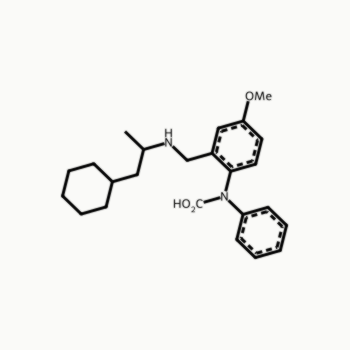 COc1ccc(N(C(=O)O)c2ccccc2)c(CNC(C)CC2CCCCC2)c1